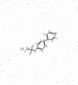 CC(C)(N)Cc1ccc(-c2ccncc2)cc1